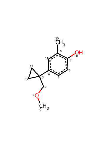 COCC1(c2ccc(O)c(C)c2)CC1